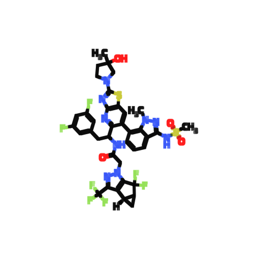 Cn1nc(NS(C)(=O)=O)c2cccc(-c3cc4sc(N5CCC(C)(O)C5)nc4nc3C(Cc3cc(F)cc(F)c3)NC(=O)Cn3nc(C(F)(F)F)c4c3C(F)(F)C3C[C@H]43)c21